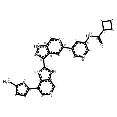 Cc1ccc(-c2cncc3[nH]c(-c4n[nH]c5cnc(-c6cncc(NC(=O)C7CCC7)c6)cc45)nc23)s1